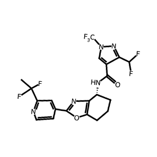 CC(F)(F)c1cc(-c2nc3c(o2)CCC[C@H]3NC(=O)c2cn(C(F)(F)F)nc2C(F)F)ccn1